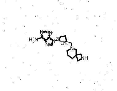 Nc1ncnc2c1ncn2[C@H]1CC[C@@H](CN2CCCC3(CNC3)C2)O1